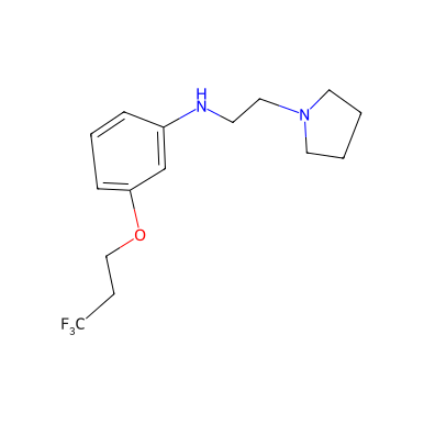 FC(F)(F)CCOc1cccc(NCCN2CCCC2)c1